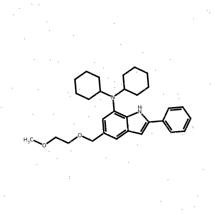 COCCOCc1cc(N(C2CCCCC2)C2CCCCC2)c2[nH]c(-c3ccccc3)cc2c1